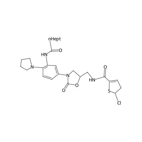 CCCCCCCC(=O)Nc1cc(N2CC(CNC(=O)C3=CCC(Cl)S3)OC2=O)ccc1N1CCCC1